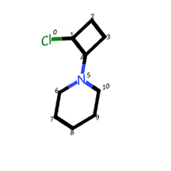 ClC1CCC1N1CC[CH]CC1